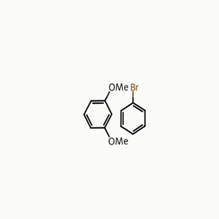 Brc1ccccc1.COc1cccc(OC)c1